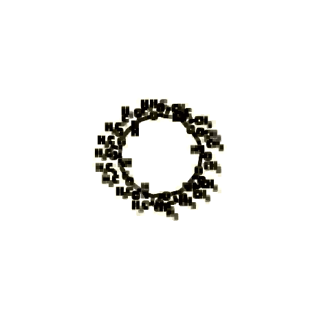 CC(C)C1NC(=O)[C@H](C)OC[C@H](C(C)C)NC(=O)[C@@H](C(C)C)OC(=O)[C@H](C(C)C)NC(=O)[C@H](C)OC(=O)[C@@H](C(C)C)NC(=O)[C@@H](C(C)C)OC(=O)[C@H](C(C)C)NC(=O)[C@H](C)OC(=O)[C@@H](C(C)C)NC(=O)[C@@H](C(C)C)OC1=O